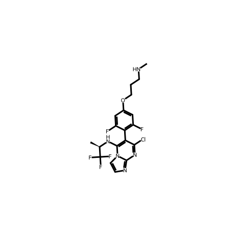 CNCCCOc1cc(F)c(-c2c(Cl)nc3nccn3c2N[C@H](C)C(F)(F)F)c(F)c1